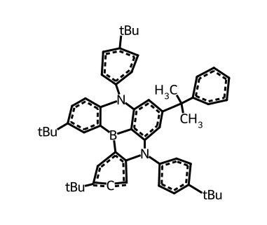 CC(C)(C)c1ccc(N2c3ccc(C(C)(C)C)cc3B3c4cc(C(C)(C)C)ccc4N(c4ccc(C(C)(C)C)cc4)c4cc(C(C)(C)c5ccccc5)cc2c43)cc1